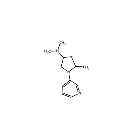 CC1CC(N(C)C)CN1c1cccnc1